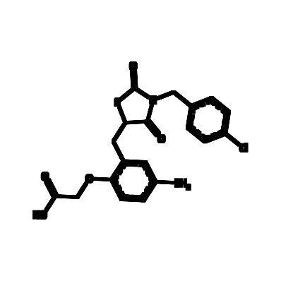 Bc1ccc(OCC(=O)O)c(CC2SC(=O)N(Cc3ccc(Cl)cc3)C2=O)c1